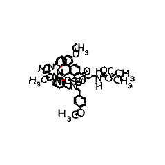 COc1ccc(CN(Cc2ccc(OC)cc2)S(=O)(=O)c2c(S(=O)(=O)CCNC(=O)OC(C)(C)C)ccc(-c3cccc(-n4ccnc4)c3)c2-c2nnnn2Cc2ccc(OC)cc2)cc1